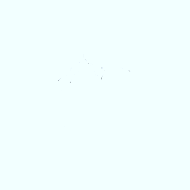 CC[C@]1(O)CC[C@@]2(C)C(=CC[C@H]3[C@@H]4CC[C@H](C(C)C(O)CC5CCC(C)(C)CC5)[C@@]4(C)CC[C@@H]32)C1